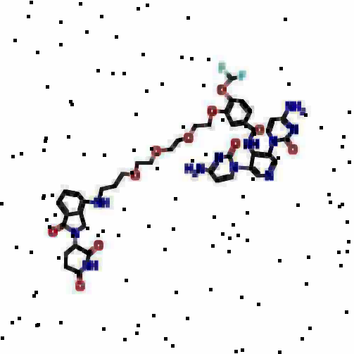 Nc1ccn(-c2cncc(-n3ccc(N)nc3=O)c2NC(=O)c2ccc(OC(F)F)c(OCCOCCOCCOCCCNc3cccc4c3CN(C3CCC(=O)NC3=O)C4=O)c2)c(=O)n1